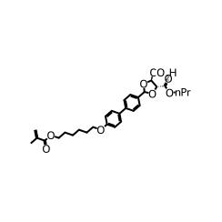 C=C(C)C(=O)OCCCCCCOc1ccc(-c2ccc(C3O[C@@H](C(=O)O)[C@H](C(=O)OCCC)O3)cc2)cc1